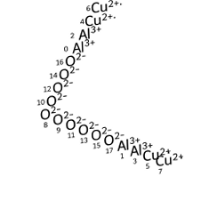 [Al+3].[Al+3].[Al+3].[Al+3].[Cu+2].[Cu+2].[Cu+2].[Cu+2].[O-2].[O-2].[O-2].[O-2].[O-2].[O-2].[O-2].[O-2].[O-2].[O-2]